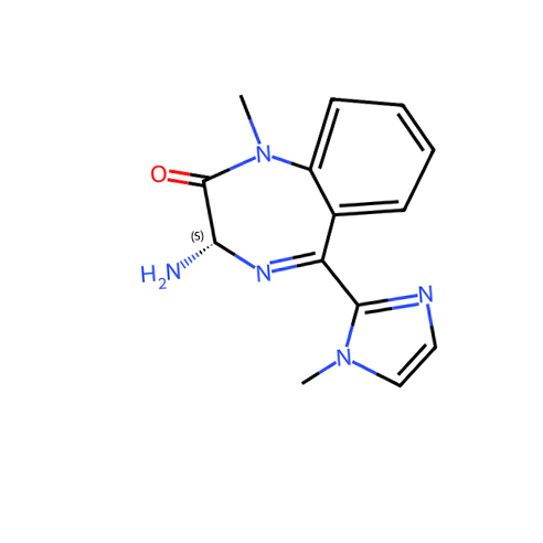 CN1C(=O)[C@@H](N)N=C(c2nccn2C)c2ccccc21